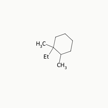 CCC1(C)CCCCC1C